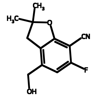 CC1(C)Cc2c(CO)cc(F)c(C#N)c2O1